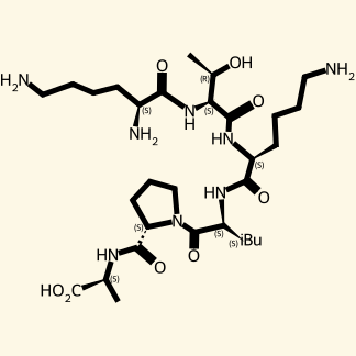 CC[C@H](C)[C@H](NC(=O)[C@H](CCCCN)NC(=O)[C@@H](NC(=O)[C@@H](N)CCCCN)[C@@H](C)O)C(=O)N1CCC[C@H]1C(=O)N[C@@H](C)C(=O)O